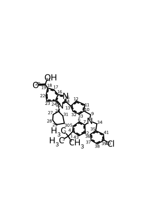 CC(C)(C)c1ccc(N(Cc2ccc(-c3nc4cc(C(=O)O)ccc4n3C3CCCCC3)cc2)Cc2cccc(Cl)c2)cc1